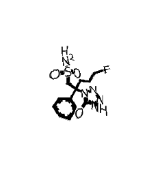 NS(=O)(=O)CC(CCCF)(c1ccccc1)n1nn[nH]c1=O